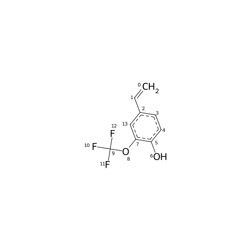 C=Cc1ccc(O)c(OC(F)(F)F)c1